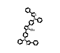 CC(C)(C)n1c(-c2ccc(N(c3ccccc3)c3cc(-c4ccccc4)cs3)cc2)ccc1-c1ccc(N(c2ccccc2)c2cc(-c3ccccc3)cs2)cc1